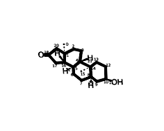 C[C@]12CC[C@H]3[C@@H](CC[C@@H]4C[C@H](O)CC[C@@]43C)[C@@H]1CC(=O)C2